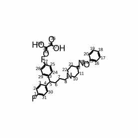 Fc1ccc(C(CCCN2CCC(=NOc3ccccc3)CC2)c2ccc(F)cc2)cc1.O=C(O)C(=O)O